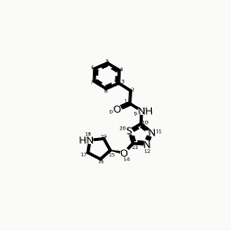 O=C(Cc1ccccc1)Nc1nnc(O[C@H]2CCNC2)s1